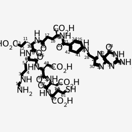 NCNCCC[C@H](NC(=O)[C@H](CCC(=O)O)NC(=O)CC[C@H](NC(=O)c1ccc(NCc2cnc3nc(N)[nH]c(=O)c3n2)cc1)C(=O)O)C(=O)N[C@@H](CC(=O)O)C(=O)N[C@@H](CC(=O)O)C(=O)N[C@@H](CCS)C(=O)O